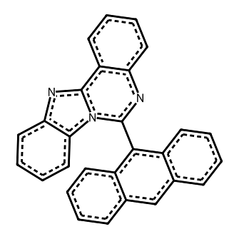 c1ccc2c(-c3nc4ccccc4c4nc5ccccc5n34)c3ccccc3cc2c1